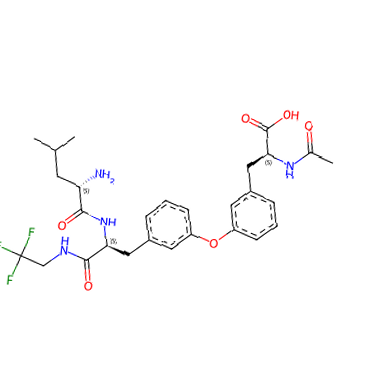 CC(=O)N[C@@H](Cc1cccc(Oc2cccc(C[C@H](NC(=O)[C@@H](N)CC(C)C)C(=O)NCC(F)(F)F)c2)c1)C(=O)O